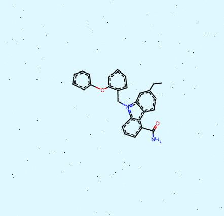 CCc1c[c]c2c3c(C(N)=O)cccc3n(Cc3ccccc3Oc3ccccc3)c2c1